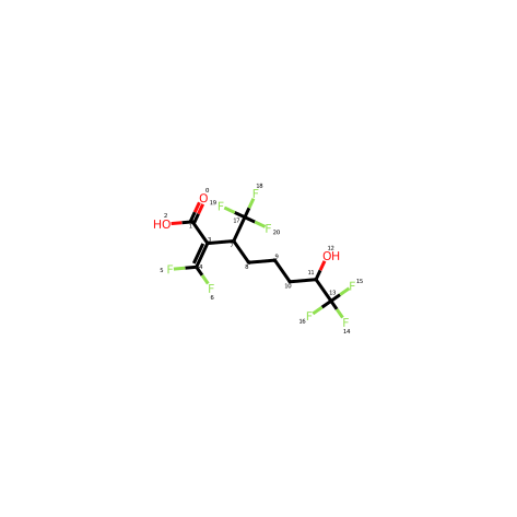 O=C(O)C(=C(F)F)C(CCCC(O)C(F)(F)F)C(F)(F)F